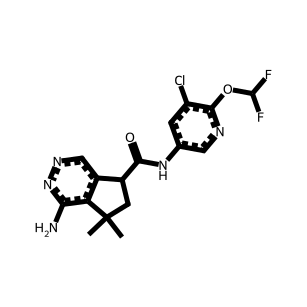 CC1(C)CC(C(=O)Nc2cnc(OC(F)F)c(Cl)c2)c2cnnc(N)c21